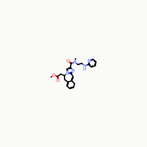 COC(=O)CC1CC2=CC=CCC2=Cc2nc(C(=O)N(C)CCNc3ccccn3)cn21